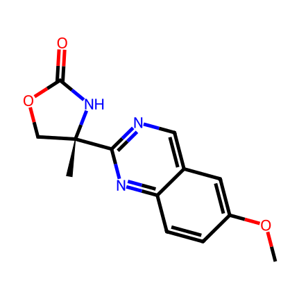 COc1ccc2nc([C@]3(C)COC(=O)N3)ncc2c1